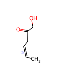 C/C=C\CC(=O)CO